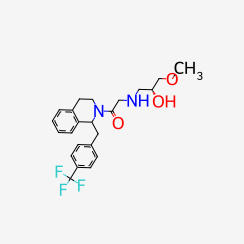 COC[C@@H](O)CNCC(=O)N1CCc2ccccc2C1Cc1ccc(C(F)(F)F)cc1